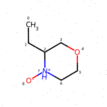 CCC1COCC[NH+]1[O-]